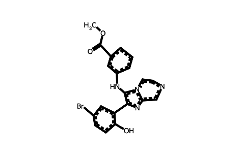 COC(=O)c1cccc(Nc2c(-c3cc(Br)ccc3O)nc3cnccn23)c1